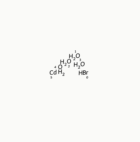 Br.O.O.O.O.[Cd]